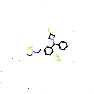 CCN(S)CC.F.F.F.FC1CN(C(c2ccccc2)c2ccccc2)C1